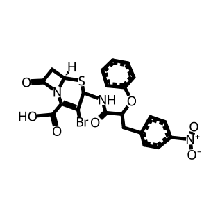 O=C(O)C1=C(Br)C(NC(=O)C(Cc2ccc([N+](=O)[O-])cc2)Oc2ccccc2)S[C@@H]2CC(=O)N12